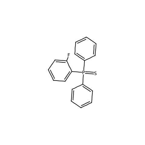 Fc1ccccc1P(=S)(c1ccccc1)c1ccccc1